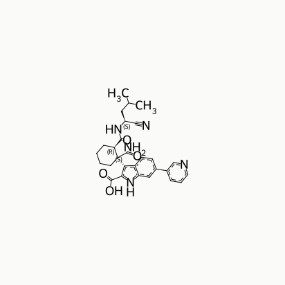 CC(C)C[C@@H](C#N)NC(=O)[C@@H]1CCCC[C@@]1(C(N)=O)c1c(C(=O)O)[nH]c2cc(-c3cccnc3)ccc12